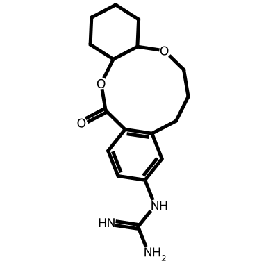 N=C(N)Nc1ccc2c(c1)CCCOC1CCCCC1OC2=O